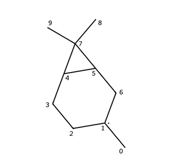 C[C]1CCC2C(C1)C2(C)C